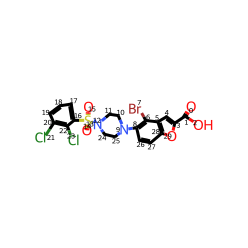 O=C(O)c1cc2c(Br)c(N3CCN(S(=O)(=O)c4cccc(Cl)c4Cl)CC3)ccc2o1